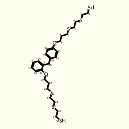 SCCSCCSCCCOc1ccc(Cc2ccccc2OCCCSCCSCCS)cc1